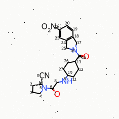 N#C[C@@H]1CCCN1C(=O)CNC1CCC(C(=O)N2Cc3ccc([N+](=O)[O-])cc3C2)CC1